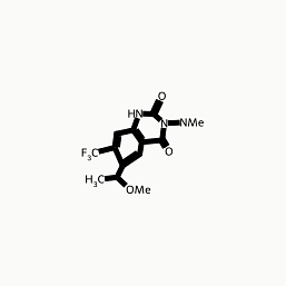 CNn1c(=O)[nH]c2cc(C(F)(F)F)c(C(C)OC)cc2c1=O